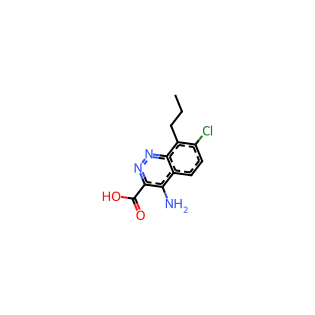 CCCc1c(Cl)ccc2c(N)c(C(=O)O)nnc12